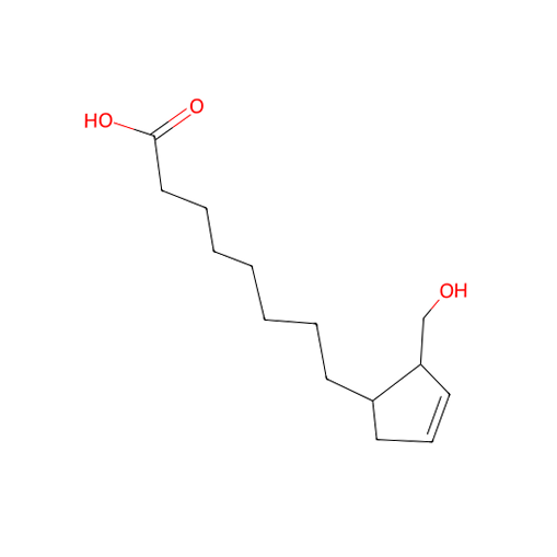 O=C(O)CCCCCCCC1CC=CC1CO